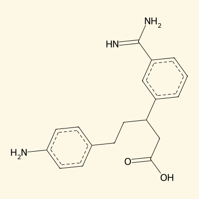 N=C(N)c1cccc(C(CCc2ccc(N)cc2)CC(=O)O)c1